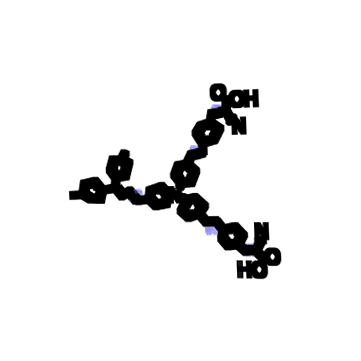 Cc1ccc(C(=C/C=C/c2ccc(N(c3ccc(/C=C/c4ccc(/C=C(\C#N)C(=O)O)cc4)cc3)c3ccc(/C=C/c4ccc(/C=C(\C#N)C(=O)O)cc4)cc3)cc2)c2ccc(C)cc2)cc1